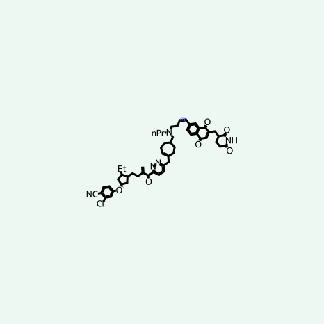 C=C(CCC1C[C@H](Oc2ccc(C#N)c(Cl)c2)CC1CC)C(=O)c1ccc(CC2=CCCC(CN(CCC)CC/C=C\c3ccc4c(c3)C(=O)C(CC3CCC(=O)NC3=O)=CC4=O)CC2)nn1